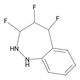 FC1NNc2ccccc2C(F)C1F